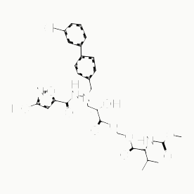 COC(=O)N[C@H](C(=O)OCOC(=O)[C@H](O)CN(Cc1ccc(-c2cccc(Cl)c2)cc1)NC(=O)c1cc(O)no1)C(C)C